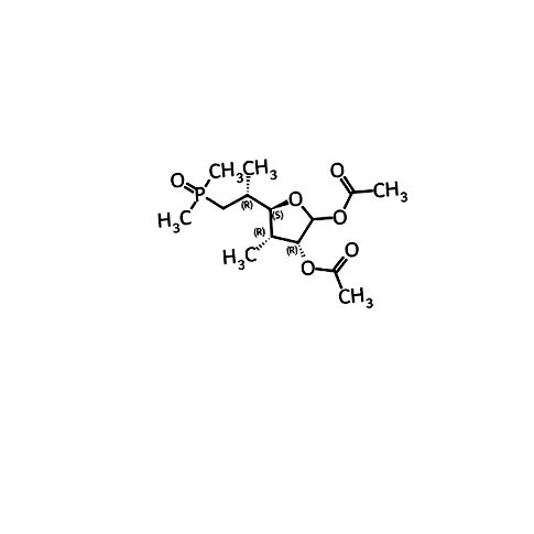 CC(=O)OC1O[C@H]([C@@H](C)CP(C)(C)=O)[C@@H](C)[C@H]1OC(C)=O